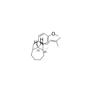 COc1ccc2c(c1)[C@@]1(C)CCCCC(C2)[C@@H]1NCC=C(C)C